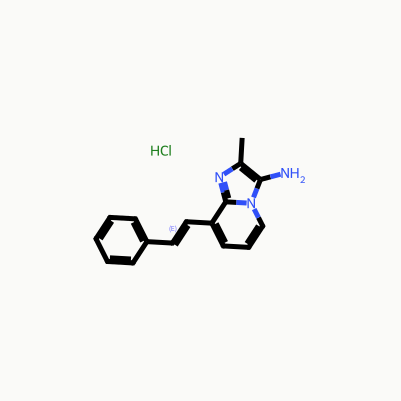 Cc1nc2c(/C=C/c3ccccc3)cccn2c1N.Cl